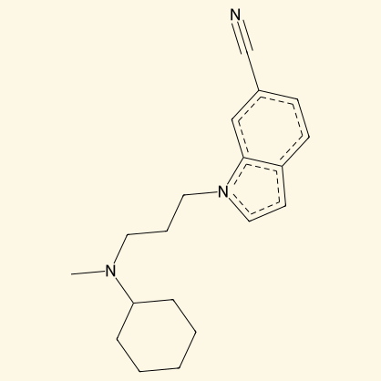 CN(CCCn1ccc2ccc(C#N)cc21)C1CCCCC1